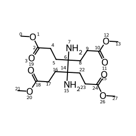 COC(=O)CCC(N)(CCC(=O)OC)C(N)(CCC(=O)OC)CCC(=O)OC